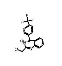 [O-][n+]1c(CCl)nc2ccccc2c1-c1ccc(C(F)(F)F)cc1